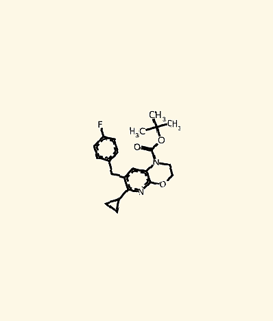 CC(C)(C)OC(=O)N1CCOc2nc(C3CC3)c(Cc3ccc(F)cc3)cc21